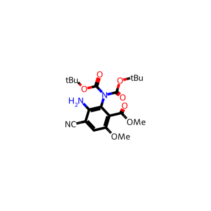 COC(=O)c1c(OC)cc(C#N)c(N)c1N(C(=O)OC(C)(C)C)C(=O)OC(C)(C)C